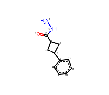 NNC(=O)C1CC(c2ccccc2)C1